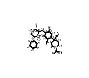 CC(=O)N1CCC(C#N)(c2cc(F)c(CC3[C@H](C)NC[C@@H](c4ccccc4)S3(=O)=O)cc2F)CC1